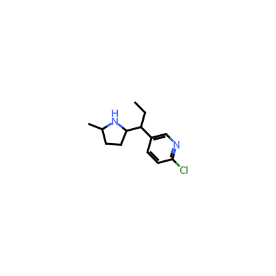 CCC(c1ccc(Cl)nc1)C1CCC(C)N1